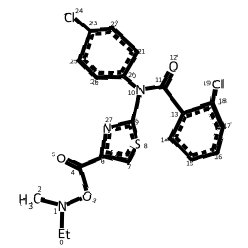 CCN(C)OC(=O)c1csc(N(C(=O)c2ccccc2Cl)c2ccc(Cl)cc2)n1